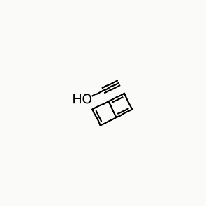 C#CO.c1cc2ccc1-2